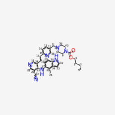 CCCCOC(=O)N1CCN(Cc2ccc(C=Cc3cncc(C#N)c3Nc3ccc4[nH]ccc4c3C)nc2)CC1